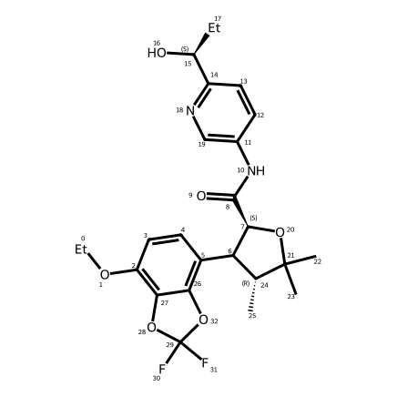 CCOc1ccc(C2[C@@H](C(=O)Nc3ccc([C@@H](O)CC)nc3)OC(C)(C)[C@@H]2C)c2c1OC(F)(F)O2